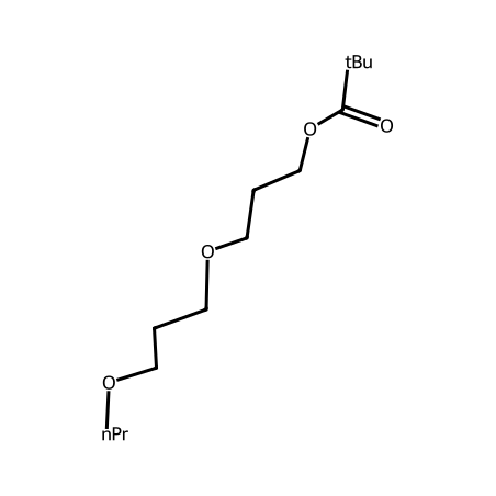 CCCOCCCOCCCOC(=O)C(C)(C)C